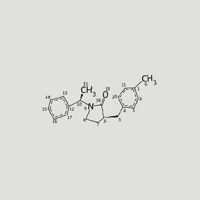 Cc1ccc(C[C@H]2CCN([C@H](C)c3ccccc3)C2=O)cc1